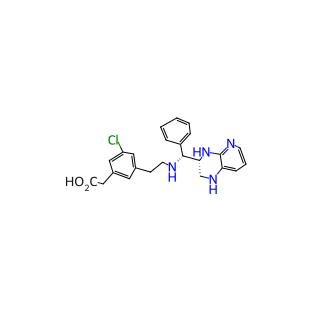 O=C(O)Cc1cc(Cl)cc(CCN[C@H](c2ccccc2)[C@H]2CNc3cccnc3N2)c1